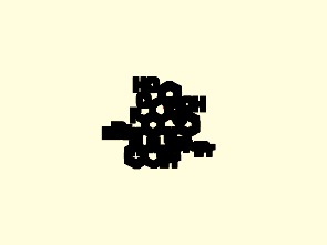 CCCCNc1c(F)c2c(c(N(CCC)c3c(CC(C)C)cccc3CC(C)C)c1N(CCC)c1c(CC(C)C)cccc1CC(C)C)C(=O)c1c(O)ccc(O)c1C2=O